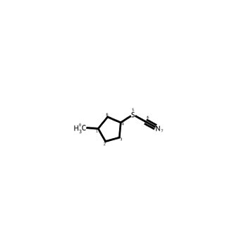 CC1CCC(SC#N)C1